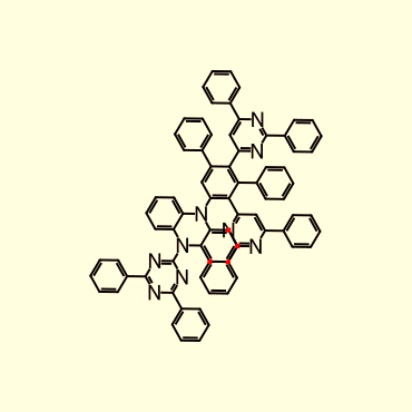 c1ccc(-c2cc(-c3c(-c4ccccc4)cc(N4c5ccccc5N(c5nc(-c6ccccc6)nc(-c6ccccc6)n5)c5ccccc54)c(-c4cc(-c5ccccc5)nc(-c5ccccc5)n4)c3-c3ccccc3)nc(-c3ccccc3)n2)cc1